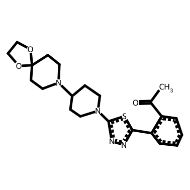 CC(=O)c1ccccc1-c1nnc(N2CCC(N3CCC4(CC3)OCCO4)CC2)s1